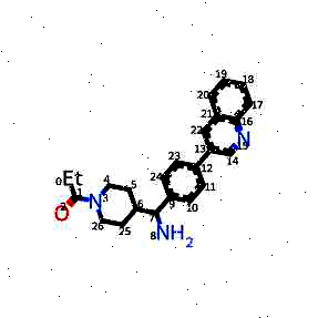 CCC(=O)N1CCC(C(N)c2ccc(-c3cnc4ccccc4c3)cc2)CC1